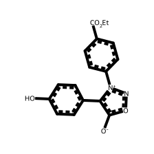 CCOC(=O)c1ccc(-[n+]2noc([O-])c2-c2ccc(O)cc2)cc1